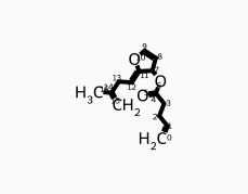 C=CCCC(=O)OC1C=COC1=CCC(=C)C